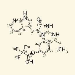 CCC(NC1=NC(=Cc2c[nH]c3ncccc23)C(=O)N1)c1ccccc1.O=C(O)C(F)(F)F